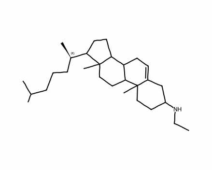 CCNC1CCC2(C)C(=CCC3C2CCC2(C)C3CCC2[C@H](C)CCCC(C)C)C1